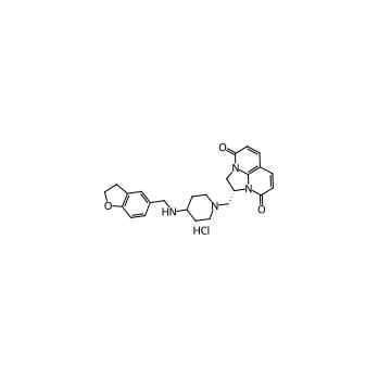 Cl.O=c1ccc2ccc(=O)n3c2n1C[C@H]3CN1CCC(NCc2ccc3c(c2)CCO3)CC1